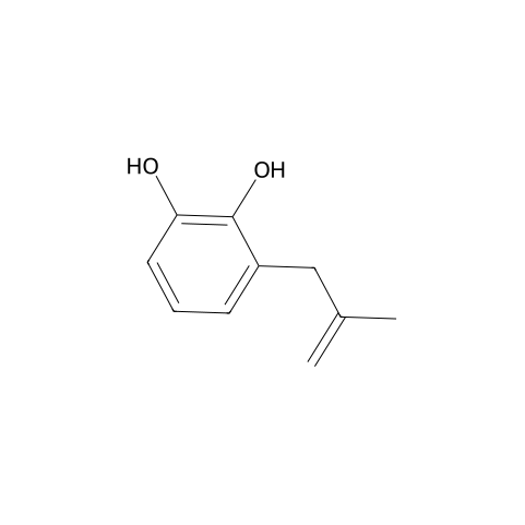 C=C(C)Cc1cccc(O)c1O